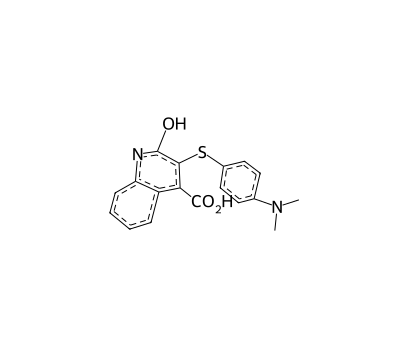 CN(C)c1ccc(Sc2c(O)nc3ccccc3c2C(=O)O)cc1